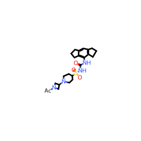 CC(=O)N1CC(N2CCC(S(=O)(=O)NC(=O)Nc3c4c(cc5c3CCC5)CCC4)CC2)C1